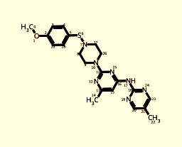 COc1ccc(SN2CCN(c3nc(C)cc(Nc4ncc(C)cn4)n3)CC2)cc1